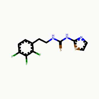 Fc1ccc(CCNC(=S)Nc2nccs2)c(F)c1F